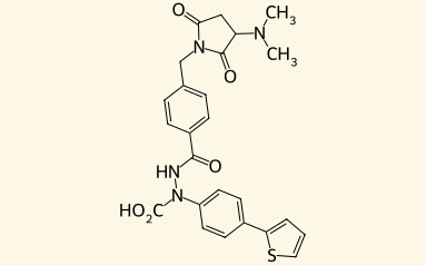 CN(C)C1CC(=O)N(Cc2ccc(C(=O)NN(C(=O)O)c3ccc(-c4cccs4)cc3)cc2)C1=O